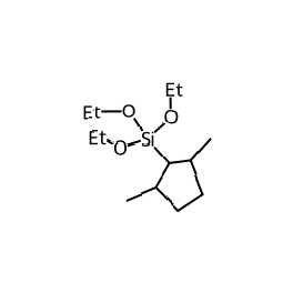 CCO[Si](OCC)(OCC)C1C(C)CCC1C